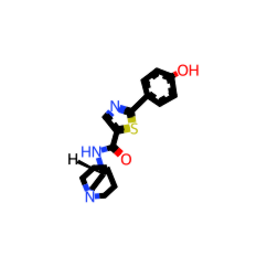 O=C(N[C@H]1CN2CCC1CC2)c1cnc(-c2ccc(O)cc2)s1